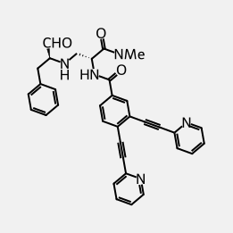 CNC(=O)[C@@H](CN[C@H](C=O)Cc1ccccc1)NC(=O)c1ccc(C#Cc2ccccn2)c(C#Cc2ccccn2)c1